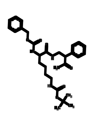 CC(C)(C)OC(=O)NCCCCC(NC(=O)OCc1ccccc1)C(=O)NCC(C(N)=O)c1ccccc1